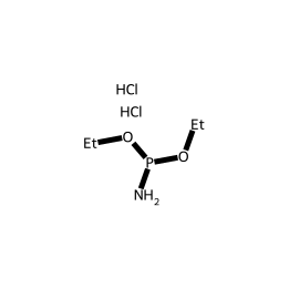 CCOP(N)OCC.Cl.Cl